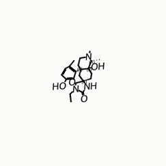 CCN1C(=O)N[C@]2(CC[C@@]3(O)[C@@H](C)N(C)CC[C@]3(c3cc(O)ccc3C)C2)C1=O